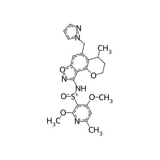 COc1cc(C)nc(OC)c1[S+]([O-])Nc1noc2cc(Cn3cccn3)c3c(c12)OCCC3C